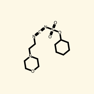 O=S(=O)(N=C=NCCN1CCOCC1)OC1CCCCC1